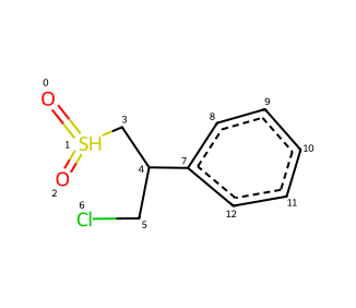 O=[SH](=O)CC(CCl)c1ccccc1